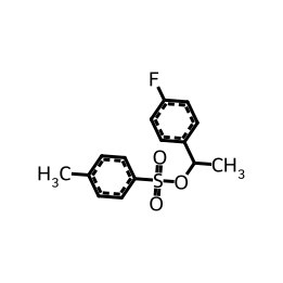 Cc1ccc(S(=O)(=O)OC(C)c2ccc(F)cc2)cc1